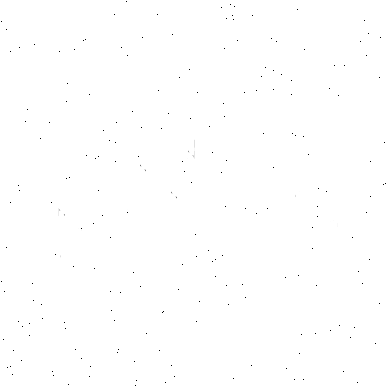 O=COc1ccc(Nc2ncc3c(n2)-c2ccccc2NC(=O)C3)cc1